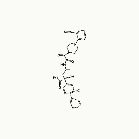 CC(CC(O)(C(=O)O)c1ccc(-c2ccccc2)c(Cl)c1)NC(=O)C(=O)N1CCN(c2ccccc2C#N)CC1